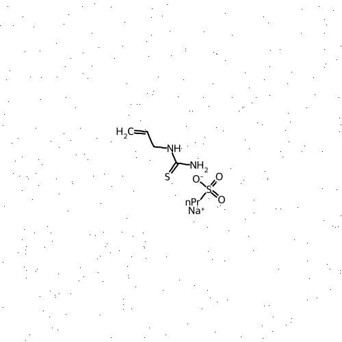 C=CCNC(N)=S.CCCS(=O)(=O)[O-].[Na+]